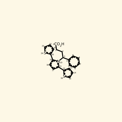 O=C(O)CCC(c1ccccc1)n1c(-c2cccs2)ccc1-c1cccs1